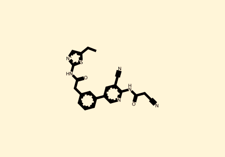 CCc1cnc(NC(=O)Cc2cccc(-c3cnc(NC(=O)CC#N)c(C#N)c3)c2)s1